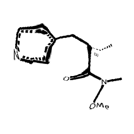 CON(C)C(=O)[C@@H](C)Cc1ccncc1